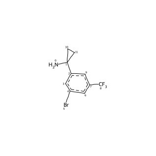 NC1(c2cc(Br)cc(C(F)(F)F)c2)CC1